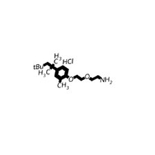 Cc1cc(C(C)(C)CC(C)(C)C)ccc1OCCOCCN.Cl